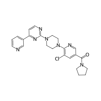 O=C(c1cnc(N2CCN(c3nccc(-c4cccnc4)n3)CC2)c(Cl)c1)N1CCCC1